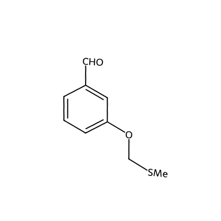 CSCOc1cccc(C=O)c1